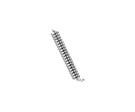 [2H]C([2H])([2H])C([2H])([2H])C([2H])([2H])C([2H])([2H])C([2H])([2H])C([2H])([2H])C([2H])([2H])C([2H])([2H])C([2H])([2H])C([2H])([2H])C([2H])([2H])C([2H])([2H])C([2H])([2H])C([2H])([2H])C([2H])([2H])C([2H])([2H])C([2H])([2H])C([2H])([2H])C([2H])([2H])C(=O)O